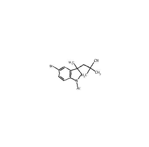 CC(=O)N1CC(C)(CC(C)(C)C#N)c2cc(Br)ccc21